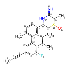 CC#Cc1cc(F)c(C(C)CC)c(-c2cc(C3C[S+]([O-])C(C)C(=N)N3)ccc2C)c1